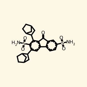 NS(=O)(=O)c1ccc2c(c1)C(=O)c1c-2cc(C2CC3CCC2C3)c(S(N)(=O)=O)c1C1CC2CCC1C2